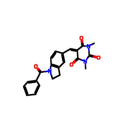 CN1C(=O)C(=Cc2ccc3c(c2)CCN3C(=O)c2ccccc2)C(=O)N(C)C1=O